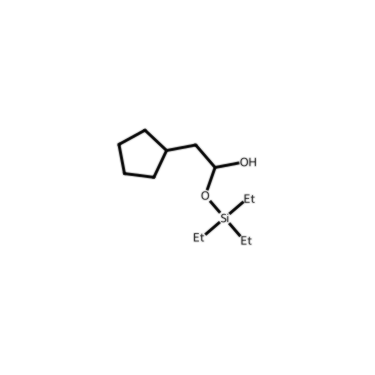 CC[Si](CC)(CC)OC(O)CC1CCCC1